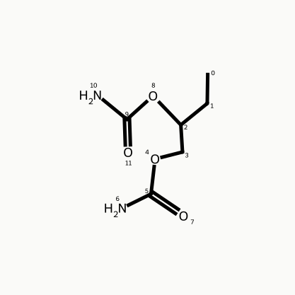 CCC(COC(N)=O)OC(N)=O